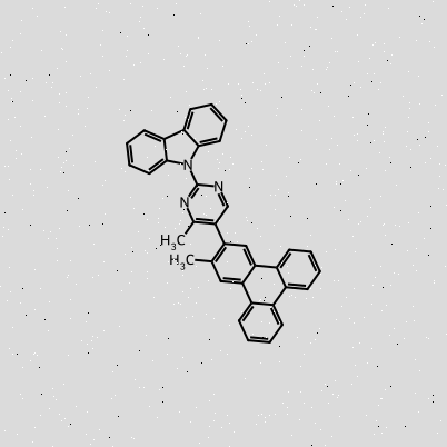 Cc1cc2c3ccccc3c3ccccc3c2cc1-c1cnc(-n2c3ccccc3c3ccccc32)nc1C